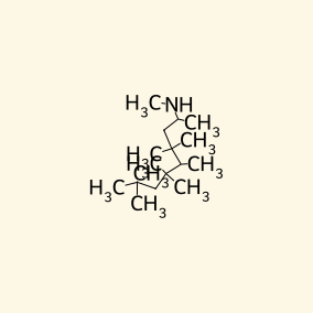 CNC(C)CC(C)(C)C(C)C(C)(C)CC(C)(C)C